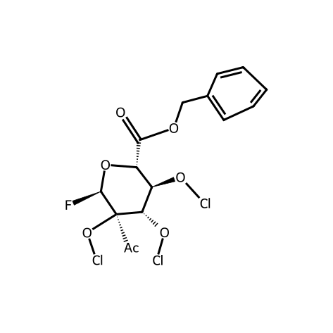 CC(=O)[C@]1(OCl)[C@@H](F)O[C@H](C(=O)OCc2ccccc2)[C@@H](OCl)[C@@H]1OCl